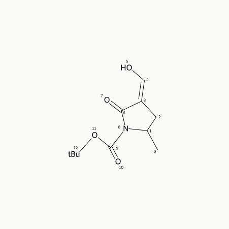 CC1C/C(=C/O)C(=O)N1C(=O)OC(C)(C)C